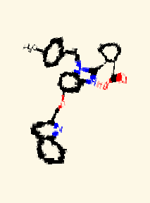 Cc1ccc(Cn2c([C@H]3CCCC[C@H]3C(=O)O)nc3cc(OCc4ccc5ccccc5n4)ccc32)cc1